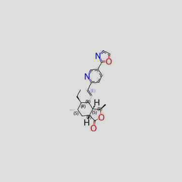 CC[C@H]1[C@H](/C=C/c2ccc(-c3ncco3)cn2)[C@@H]2[C@@H](C)OC(=O)[C@@H]2C[C@@H]1C